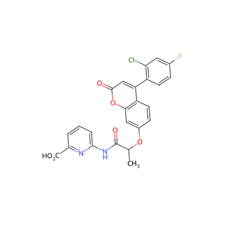 CC(Oc1ccc2c(-c3ccc(F)cc3Cl)cc(=O)oc2c1)C(=O)Nc1cccc(C(=O)O)n1